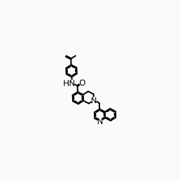 C=C(C)c1ccc(NC(=O)c2cccc3c2CCN(Cc2ccnc4ccccc24)C3)cc1